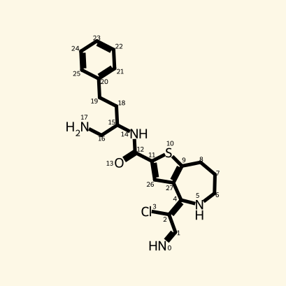 N=C/C(Cl)=C1\NCCCc2sc(C(=O)NC(CN)CCc3ccccc3)cc21